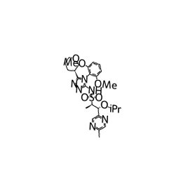 COc1cccc(OC)c1-n1c(NS(=O)(=O)[C@H](C)[C@H](OC(C)C)c2cnc(C)cn2)nnc1[C@H]1CCCOC1